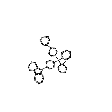 c1ccc(-c2ccc(C3(c4ccc(-n5c6ccccc6c6ccccc65)cc4)c4ccccc4-c4ccccc43)cc2)cc1